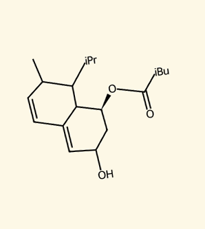 CCC(C)C(=O)O[C@H]1CC(O)C=C2C=CC(C)C(C(C)C)C21